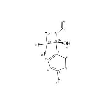 C=CC[C@](O)(c1ccc(F)cc1)C(F)(F)F